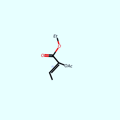 C/C=C(\OC(C)=O)C(=O)OCC